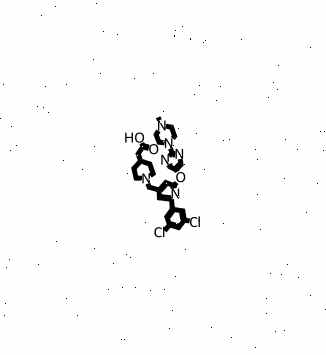 CN1CCN(c2ncc(Oc3cc(CN4CCC(CC(=O)O)CC4)cc(-c4cc(Cl)cc(Cl)c4)n3)cn2)CC1